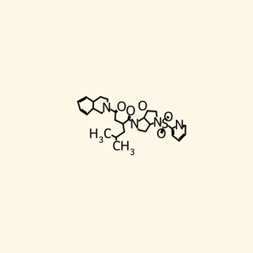 CC(C)CC(CC(=O)N1CCC2C=CC=CC2C1)C(=O)N1CCC2C1C(=O)CN2S(=O)(=O)c1ccccn1